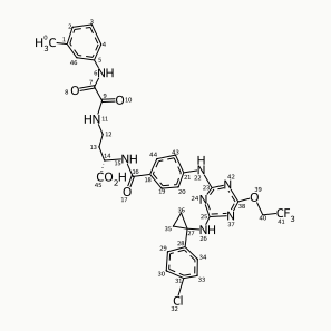 Cc1cccc(NC(=O)C(=O)NCC[C@H](NC(=O)c2ccc(Nc3nc(NC4(c5ccc(Cl)cc5)CC4)nc(OCC(F)(F)F)n3)cc2)C(=O)O)c1